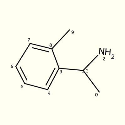 C[C](N)c1ccccc1C